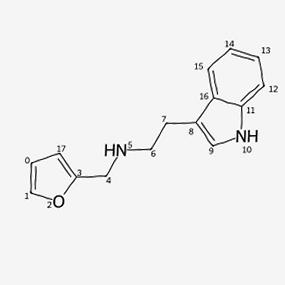 c1coc(CNCCc2c[nH]c3ccccc23)c1